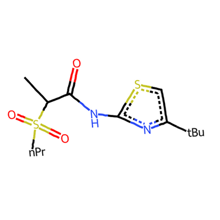 CCCS(=O)(=O)C(C)C(=O)Nc1nc(C(C)(C)C)cs1